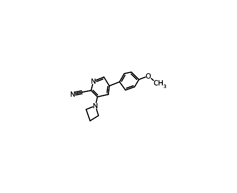 COc1ccc(-c2cnc(C#N)c(N3CCC3)c2)cc1